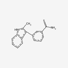 Cc1[nH]c2ccccc2c1-c1cccc(C(N)=S)c1